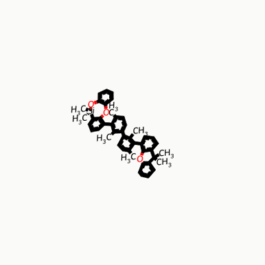 Cc1ccc(-c2ccc(C)c(-c3cccc4c3Oc3ccccc3O[Si]4(C)C)c2C)c(C)c1-c1cccc2c1Oc1ccccc1C2(C)C